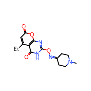 CCc1cc(=O)oc2nc(ON=C3CCN(C)CC3)[nH]c(=O)c12